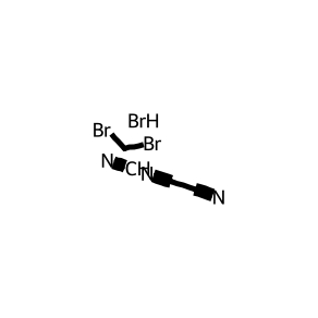 Br.BrCBr.C#N.N#CC#N